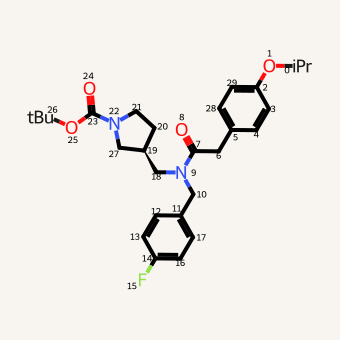 CC(C)Oc1ccc(CC(=O)N(Cc2ccc(F)cc2)C[C@@H]2CCN(C(=O)OC(C)(C)C)C2)cc1